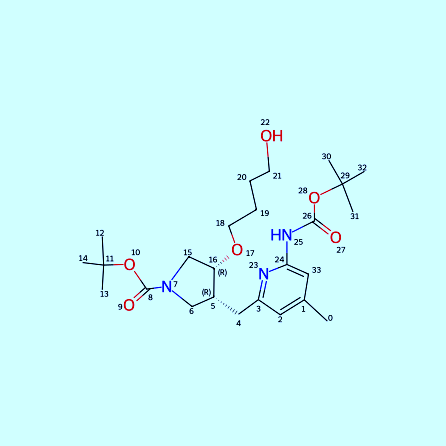 Cc1cc(C[C@@H]2CN(C(=O)OC(C)(C)C)C[C@@H]2OCCCCO)nc(NC(=O)OC(C)(C)C)c1